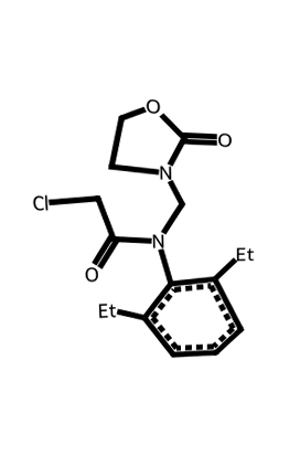 CCc1cccc(CC)c1N(CN1CCOC1=O)C(=O)CCl